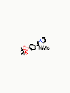 CNC(CN1CCCC1)c1ccc(B2OC(C)(C)C(C)(C)O2)cc1